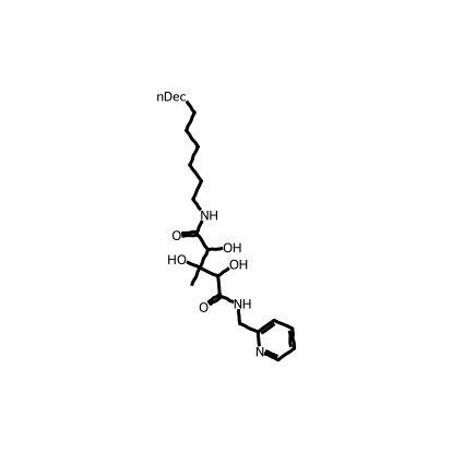 CCCCCCCCCCCCCCCCNC(=O)C(O)C(C)(O)C(O)C(=O)NCc1ccccn1